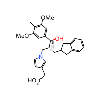 COc1cc([C@@H](O)[C@H](CC2Cc3ccccc3C2)Cn2ccc(CC(=O)O)c2)cc(OC)c1C